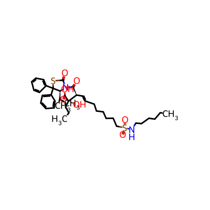 CCCCCCNS(=O)(=O)CCCCCC/C=C/[C@H](C(=O)N1C(=O)SC(c2ccccc2)(c2ccccc2)[C@@H]1C(C)C)[C@@](O)(CCC)C(=O)O